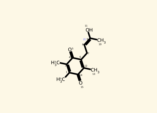 CC1=C(C)C(=O)C(C/C=C(\C)O)=C(C)C1=O